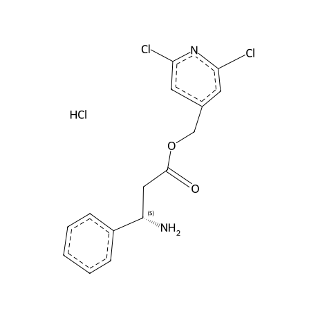 Cl.N[C@@H](CC(=O)OCc1cc(Cl)nc(Cl)c1)c1ccccc1